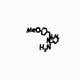 COc1ccc(Cn2nc(N)c3cccnc32)cc1